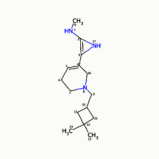 CNC1=C(C2=CCCN(CC3CC(C)(C)C3)C2)N1